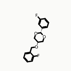 Fc1cccc([C@H]2OC[C@@H](OCc3ccccc3F)CO2)c1